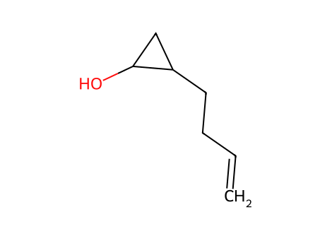 C=CCCC1CC1O